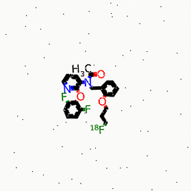 CC(=O)N(Cc1ccccc1OCCC[18F])c1cccnc1Oc1c(F)cccc1F